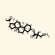 CC(=O)[C@H]1CCC2[C@@H]3CCC4C[C@H](OC(=O)C(C)(C)CN)CC[C@]4(C)C3CC[C@@]21C